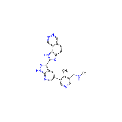 CCNCc1cncc(-c2cnc3[nH]nc(-c4nc5ccc6cnncc6c5[nH]4)c3c2)c1C